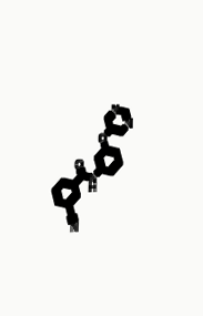 N#Cc1cccc(C(=O)Nc2cccc(Oc3cncnc3)c2)c1